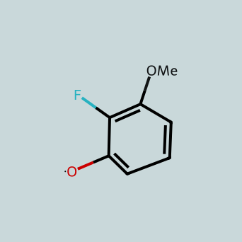 COc1cccc([O])c1F